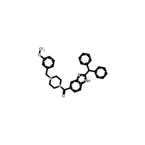 O=C(c1ccc2[nH]c(C(c3ccccc3)c3ccccc3)nc2c1)N1CCN(Cc2cccc(OC(F)(F)F)c2)CC1